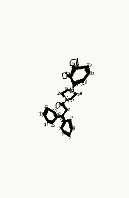 O=C(CC(c1ccccc1)c1ccccc1)N1CCN(c2cccc(Cl)c2Cl)CC1